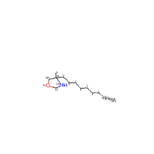 CCCCCCCCCCCCCCC1(C)COCN1